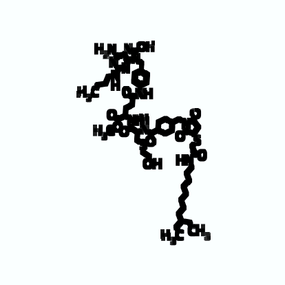 CCCCNc1nc(N)c2nc(O)n(Cc3ccc(NC(=O)CCC(NC(=O)C(CSCCO)NC(=O)C4CCC(CN5C(=O)CC(SCC(=O)NCCCCCCCCC(CC)CC)C5=O)CC4)C(=O)OC)cc3)c2n1